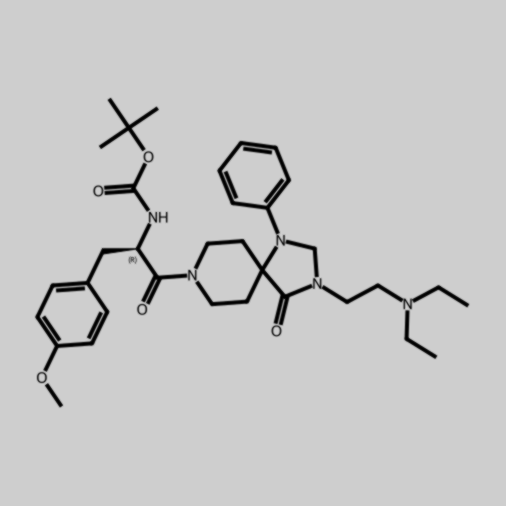 CCN(CC)CCN1CN(c2ccccc2)C2(CCN(C(=O)[C@@H](Cc3ccc(OC)cc3)NC(=O)OC(C)(C)C)CC2)C1=O